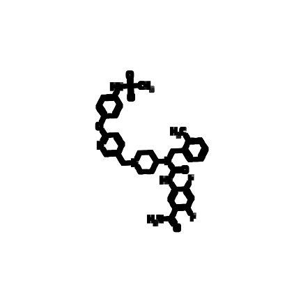 Cc1ccccc1CN(C(=O)Nc1cc(C(N)=O)c(F)cc1F)C1CCN(Cc2ccc(Oc3ccc(NS(C)(=O)=O)cc3)nc2)CC1